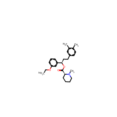 Cc1ccc(CC[C@@H](OC(=O)[C@@H]2CCCCN2C)c2cccc(OCC(=O)O)c2)cc1C